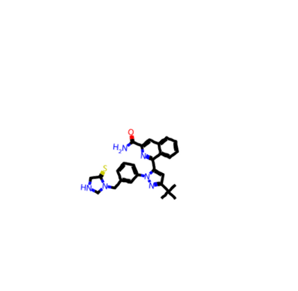 CC(C)(C)c1cc(-c2nc(C(N)=O)cc3ccccc23)n(-c2cccc(CN3CNCC3=S)c2)n1